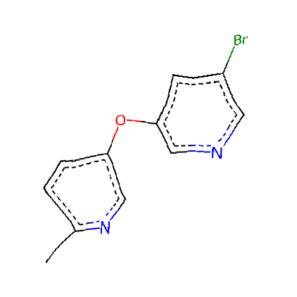 Cc1ccc(Oc2cncc(Br)c2)cn1